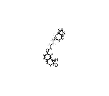 O=C1CCc2ccc(OCCCCN3CCc4ncsc4C3)cc2N1